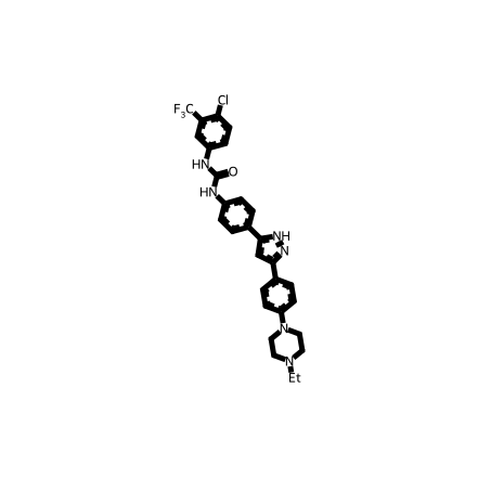 CCN1CCN(c2ccc(-c3cc(-c4ccc(NC(=O)Nc5ccc(Cl)c(C(F)(F)F)c5)cc4)[nH]n3)cc2)CC1